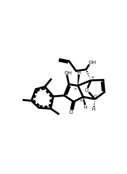 C=CCC(O)[C@]12C=C[C@H](O1)[C@@H]1C(=O)C(c3c(C)cc(C)cc3C)=C(O)[C@@H]12